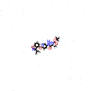 CC[C@@H](NC(=O)OC(C)(C)C)C(=O)Nc1ccc(Oc2cccc3onc(C(C)C)c23)nc1